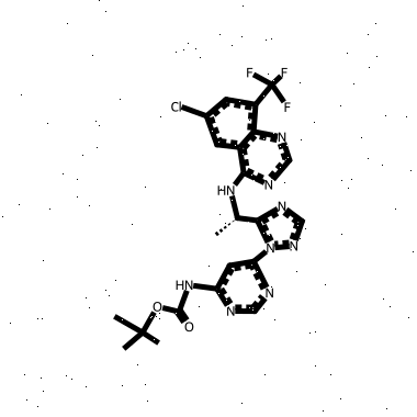 C[C@H](Nc1ncnc2c(C(F)(F)F)cc(Cl)cc12)c1ncnn1-c1cc(NC(=O)OC(C)(C)C)ncn1